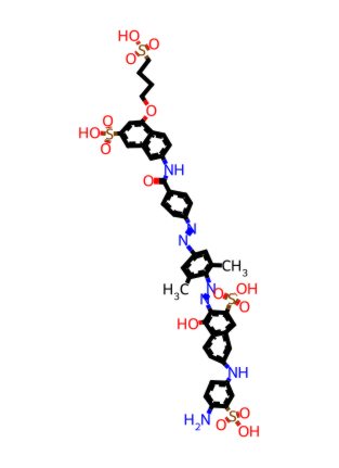 Cc1cc(N=Nc2ccc(C(=O)Nc3ccc4c(OCCCCS(=O)(=O)O)cc(S(=O)(=O)O)cc4c3)cc2)cc(C)c1N=Nc1c(S(=O)(=O)O)cc2cc(Nc3ccc(N)c(S(=O)(=O)O)c3)ccc2c1O